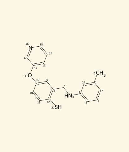 Cc1cccc(NCc2cc(Oc3cccnc3)ccc2S)c1